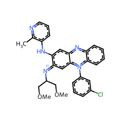 COCC(COC)/N=c1\cc2n(-c3cccc(Cl)c3)c3ccccc3nc-2cc1Nc1cccnc1C